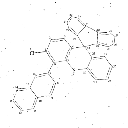 Clc1ccc2c(c1-c1ccc3ccccc3c1)Sc1ccccc1C21c2ccccc2-c2ccccc21